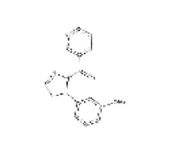 COc1cccc(C2CC=NN2C(=O)c2cccnc2)c1